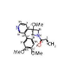 C=CC(=O)N1CC(OC)(c2ccncc2-c2ccc(OC)c(OC)c2)C1